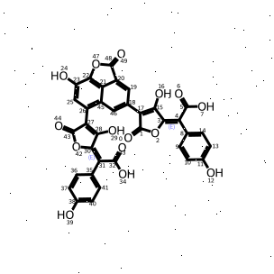 O=C1O/C(=C(/C(=O)O)c2ccc(O)cc2)C(O)=C1c1cc2c3c(c(O)cc(C4=C(O)/C(=C(\C(=O)O)c5ccc(O)cc5)OC4=O)c3c1)OC2=O